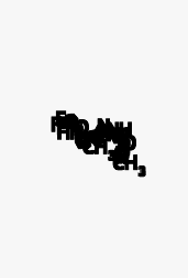 Cc1ccc(NC(=O)c2cccc(C(F)(F)F)c2)cc1N1CCc2nc(Nc3ccc(C(=O)N4CCN(C)CC4)nc3)ncc2C1